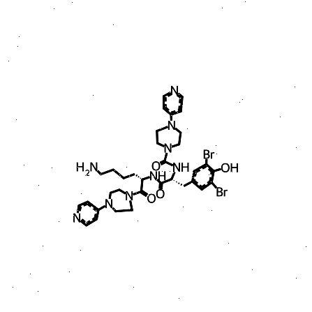 NCCCC[C@H](NC(=O)[C@@H](Cc1cc(Br)c(O)c(Br)c1)NC(=O)N1CCN(c2ccncc2)CC1)C(=O)N1CCN(c2ccncc2)CC1